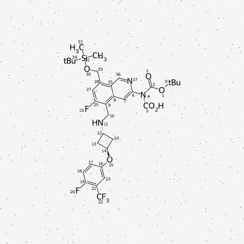 CC(C)(C)OC(=O)N(C(=O)O)c1cc2c(CN[C@H]3C[C@H](Oc4ccc(F)c(C(F)(F)F)c4)C3)c(F)cc(CO[Si](C)(C)C(C)(C)C)c2cn1